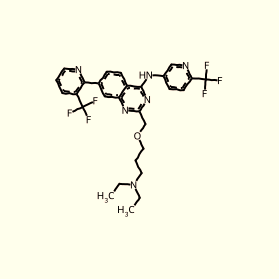 CCN(CC)CCCOCc1nc(Nc2ccc(C(F)(F)F)nc2)c2ccc(-c3ncccc3C(F)(F)F)cc2n1